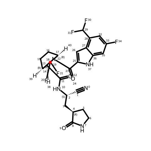 N#C[C@H](C[C@H]1CCNC1=O)NC(=O)[C@H]1[C@H]2CC[C@H](CC2(F)F)N1C(=O)c1cc2c(C(F)F)cc(F)cc2[nH]1